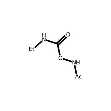 CCNC(=O)ONC(C)=O